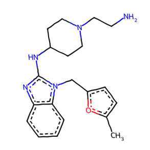 Cc1ccc(Cn2c(NC3CCN(CCN)CC3)nc3ccccc32)o1